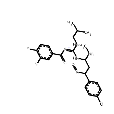 CNC(CC(N=O)c1ccc(Cl)cc1)N/C(=N\C(=O)c1ccc(F)c(F)c1)NCC(C)C